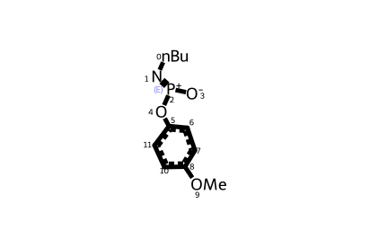 CCCC/N=[P+](\[O-])Oc1ccc(OC)cc1